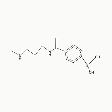 C=C(NCCCNC)c1ccc(B(O)O)cc1